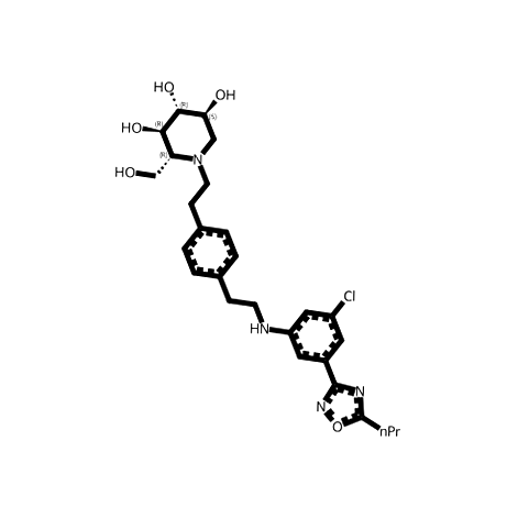 CCCc1nc(-c2cc(Cl)cc(NCCc3ccc(CCN4C[C@H](O)[C@@H](O)[C@H](O)[C@H]4CO)cc3)c2)no1